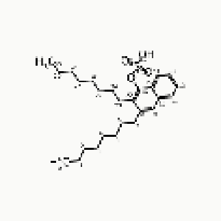 CCCCCCCCc1cc2ccccc2c(OS(=O)(=O)O)c1CCCCCCCC